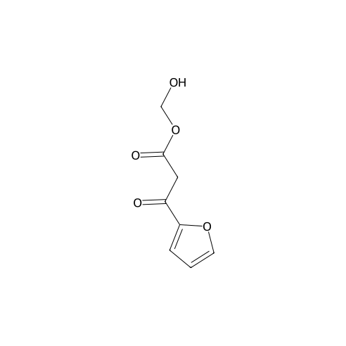 O=C(CC(=O)c1ccco1)OCO